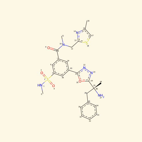 CNS(=O)(=O)c1cc(C(=O)N(C)Cc2nc(C)cs2)cc(-c2nnc([C@](C)(N)Cc3ccccc3)o2)c1